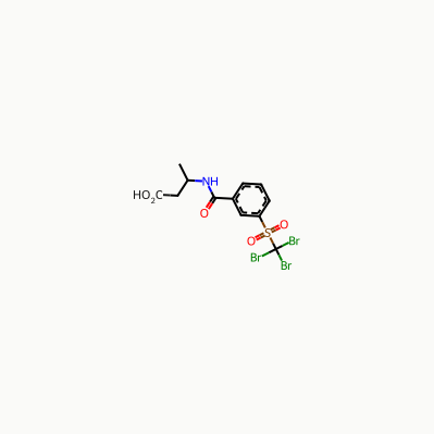 CC(CC(=O)O)NC(=O)c1cccc(S(=O)(=O)C(Br)(Br)Br)c1